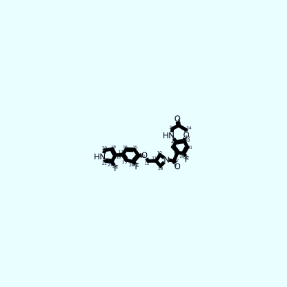 O=C1CNc2cc(C(=O)N3CC(COc4ccc(C5=CCNC=C5F)cc4F)C3)c(F)cc2OC1